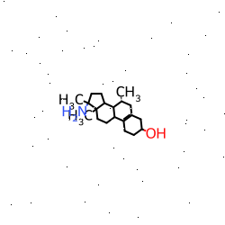 C[C@@H]1CC2=C(CCC(O)C2)C2CCC3(C)C(CCC3(C)N)C21